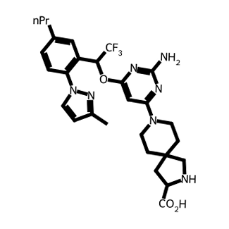 CCCc1ccc(-n2ccc(C)n2)c(C(Oc2cc(N3CCC4(CC3)CNC(C(=O)O)C4)nc(N)n2)C(F)(F)F)c1